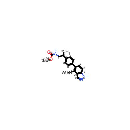 CNc1c(-c2ccc(C(C)CNC(=O)OC(C)(C)C)cc2)ccc2[nH]ncc12